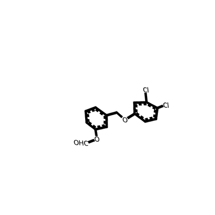 O=COc1cccc(COc2ccc(Cl)c(Cl)c2)c1